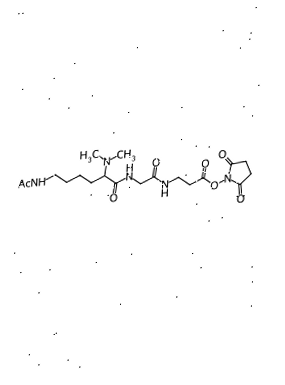 CC(=O)NCCCCC(C(=O)NCC(=O)NCCC(=O)ON1C(=O)CCC1=O)N(C)C